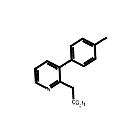 Cc1ccc(-c2cccnc2CC(=O)O)cc1